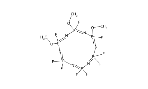 COP1(F)=NP(F)(F)=NP(F)(F)=NP(F)(F)=NP(F)(OC)=NP(F)(OC)=N1